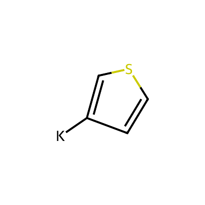 [K][c]1ccsc1